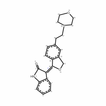 O=C1Nc2ccccc2/C1=C1\OCc2cc(CCN3CCOCC3)ccc21